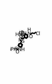 CC(C)OC(=O)Nc1ccc(-c2ncc(-c3ccc(NC(=O)CCCCl)cc3S(=O)(=O)NC(C)(C)C)s2)cc1